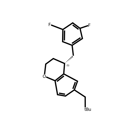 CC(C)(C)Cc1ccc2c(c1)[C@@H](Cc1cc(F)cc(F)c1)CCO2